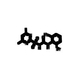 Cc1cc(C)nc(S(=O)(=O)NC(=O)Nc2c(C(C)C)cccc2C(C)C)n1